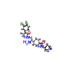 NC(CNC(=O)C1(c2ccc(F)c(F)c2)CC1)[C@H]1CC[C@H](C(=O)Nc2ccncc2)CC1